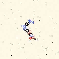 CC(C)(C)OC(=O)N1CCC(Oc2cc3nc(Nc4ccc(-c5ncn[nH]5)cc4)ncc3cc2Br)CC1